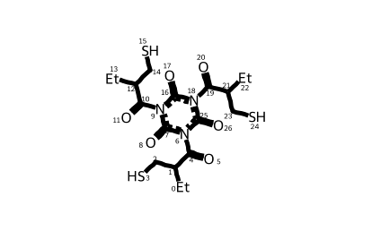 CCC(CS)C(=O)n1c(=O)n(C(=O)C(CC)CS)c(=O)n(C(=O)C(CC)CS)c1=O